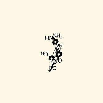 CCOC(=O)CCN(C(=O)c1ccc2c(c1)nc(CNc1ccc(C(=N)N)cc1)n2C)c1ccccn1.Cl